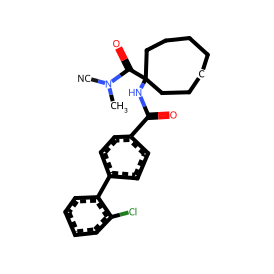 CN(C#N)C(=O)C1(NC(=O)c2ccc(-c3ccccc3Cl)cc2)CCCCCCC1